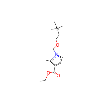 CCOC(=O)c1ccn(COCC[Si](C)(C)C)c1C